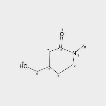 CN1CCC(CO)CC1=O